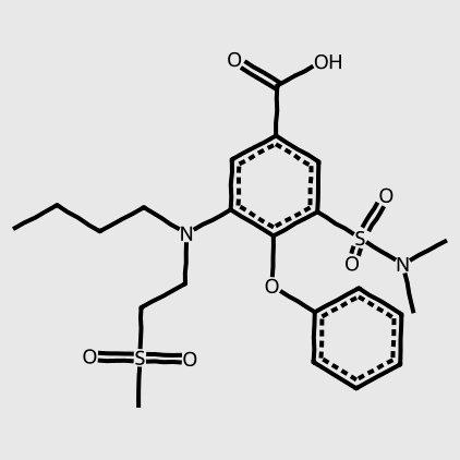 CCCCN(CCS(C)(=O)=O)c1cc(C(=O)O)cc(S(=O)(=O)N(C)C)c1Oc1ccccc1